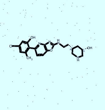 Cc1cc(Cl)cc(O)c1-c1ccc2oc(NCC[C@H]3CNC[C@@H](O)C3)nc2n1